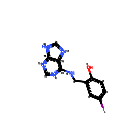 Oc1ccc(I)cc1CNc1ncnc2[nH]cnc12